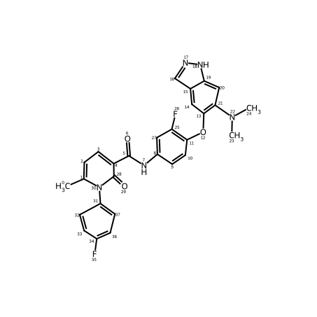 Cc1ccc(C(=O)Nc2ccc(Oc3cc4cn[nH]c4cc3N(C)C)c(F)c2)c(=O)n1-c1ccc(F)cc1